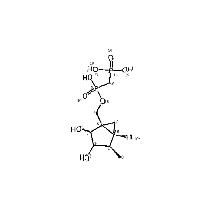 C[C@H]1C(O)C(O)[C@]2(COP(=O)(O)CP(=O)(O)O)C[C@H]12